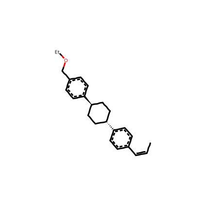 C/C=C\c1ccc([C@H]2CC[C@H](c3ccc(COCC)cc3)CC2)cc1